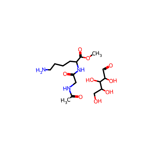 COC(=O)C(CCCCN)NC(=O)CNC(C)=O.O=CC(O)C(O)C(O)CO